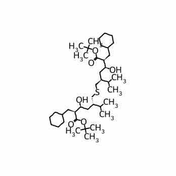 CC(C)[C@@H](CSC[C@@H](C[C@H](O)[C@H](CC1CCCCC1)C(=O)OC(C)(C)C)C(C)C)C[C@H](O)[C@H](CC1CCCCC1)C(=O)OC(C)(C)C